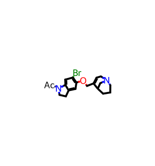 CC(=O)N1CCc2cc(OCC3=CCN4CCCC3C4)c(Br)cc21